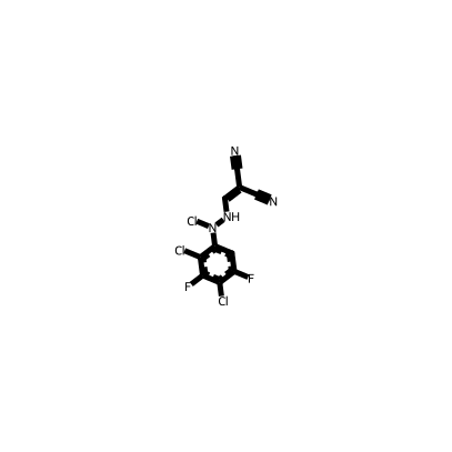 N#CC(C#N)=CNN(Cl)c1cc(F)c(Cl)c(F)c1Cl